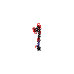 O=C1CC(C2CC3C(=O)OC(=O)C3c3cc(OCCCCCCOO/C=C/C=C/C=C/C(=O)c4ccccc4)ccc32)C(=O)O1